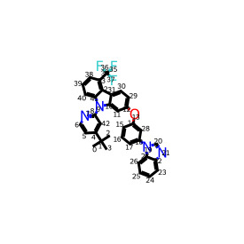 CC(C)(C)c1ccnc(-n2c3cc(Oc4cccc(-n5cnc6ccccc65)c4)ccc3c3c(C(F)(F)F)cccc32)c1